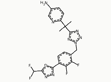 CC(C)(c1ccc(N)cn1)c1nnn(Cc2ccc(-c3nnc(C(F)F)o3)c(F)c2F)n1